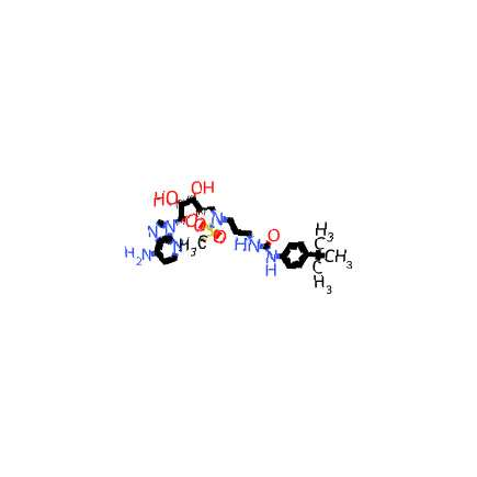 CC(C)(C)c1ccc(NC(=O)NCCCN(C[C@H]2O[C@@H](n3cnc4c(N)ccnc43)[C@H](O)[C@@H]2O)S(C)(=O)=O)cc1